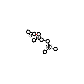 c1ccc(-c2cc(-c3ccccc3)nc(-c3cccc(-c4ccc5c(c4)c4ccccc4n5-c4ccccc4-c4cccc5c4oc4ccccc45)c3)n2)cc1